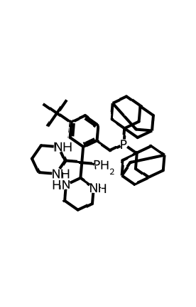 CC(C)(C)c1ccc(CP(C23CC4CC(CC(C4)C2)C3)C23CC4CC(CC(C4)C2)C3)c(C(P)(C2NCCCN2)C2NCCCN2)c1